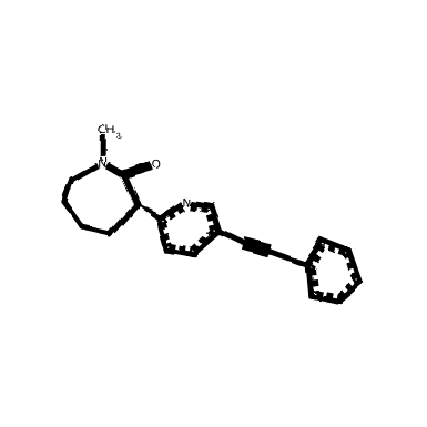 CN1CCCC[C@H](c2ccc(C#Cc3ccccc3)cn2)C1=O